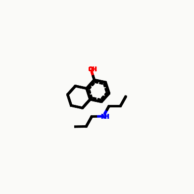 CCCNCCC.Oc1cccc2c1CCCC2